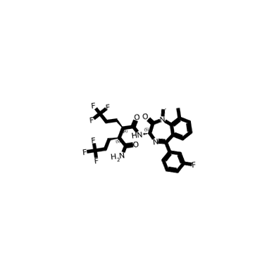 [CH2]N1C(=O)[C@@H](NC(=O)[C@H](CCC(F)(F)F)[C@H](CCC(F)(F)F)C(N)=O)N=C(c2cccc(F)c2)c2cccc(C)c21